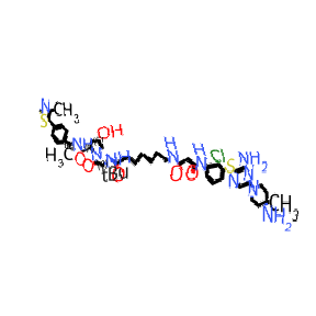 Cc1ncsc1-c1ccc([C@@H](C)NC(=O)[C@H]2C[C@H](O)CN2C(=O)[C@H](NC(=O)CCCCCCNC(=O)CC(=O)Nc2cccc(Sc3ncc(N4CCC(C)(N)CC4)nc3N)c2Cl)C(C)(C)C)cc1